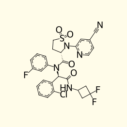 N#Cc1ccnc(N2[C@H](C(=O)N(c3cccc(F)c3)[C@@H](C(=O)NC3CC(F)(F)C3)c3ccccc3Cl)CCS2(=O)=O)c1